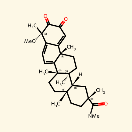 CNC(=O)[C@]1(C)CC[C@]2(C)CC[C@]3(C)C4=CC=C5C(=CC(=O)C(=O)[C@@]5(C)OC)[C@]4(C)CC[C@@]3(C)[C@@H]2C1